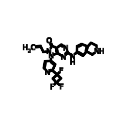 C=CCn1c(=O)c2cnc(Nc3ccc4c(c3)CNCC4)nc2n1-c1ccnc(C2(F)CC(F)(F)C2)c1